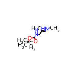 CN/C=C(\C)CNC(=O)OC(C)(C)C